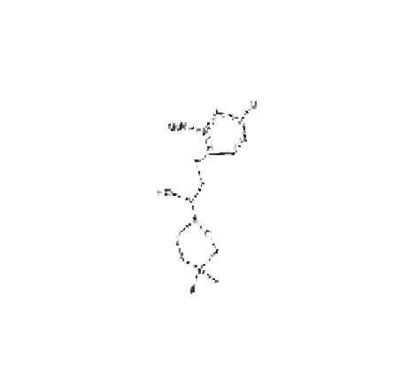 CNc1nc(Cl)ncc1OCC(O)C1CCC(F)(F)CC1